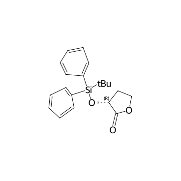 CC(C)(C)[Si](O[C@@H]1CCOC1=O)(c1ccccc1)c1ccccc1